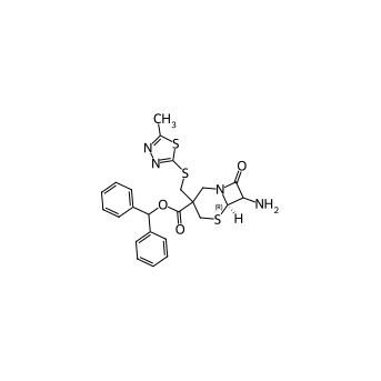 Cc1nnc(SCC2(C(=O)OC(c3ccccc3)c3ccccc3)CS[C@@H]3C(N)C(=O)N3C2)s1